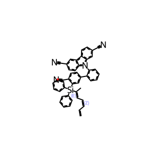 C=C/C=C\C=C(/C)[Si](c1ccccc1)(c1ccccc1)c1cc(-c2ccccc2-n2c3ccc(C#N)cc3c3ccc(C#N)cc32)ccc1C#N